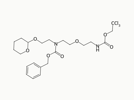 O=C(NCCOCCN(CCOC1CCCCO1)C(=O)OCc1ccccc1)OCC(Cl)(Cl)Cl